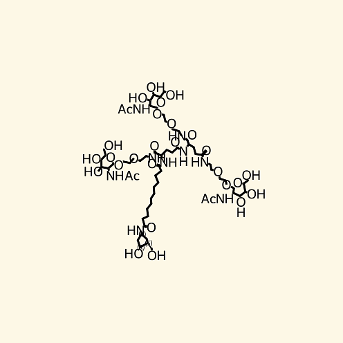 CC(=O)NC1C(OCCOCCNC(=O)CCC(NC(=O)CCC(NC(=O)CCCCCCCCCCC(=O)N[C@H]2C[C@@H](CO)[C@H](O)C2)C(=O)NCCOCCOC2OC(CO)C(O)C(O)C2NC(C)=O)C(=O)NCCOCCOC2OC(CO)C(O)C(O)C2NC(C)=O)OC(CO)C(O)C1O